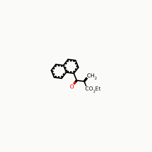 C=C(C(=O)OCC)C(=O)c1cccc2ccccc12